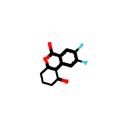 O=C1CCCc2oc(=O)c3cc(F)c(F)cc3c21